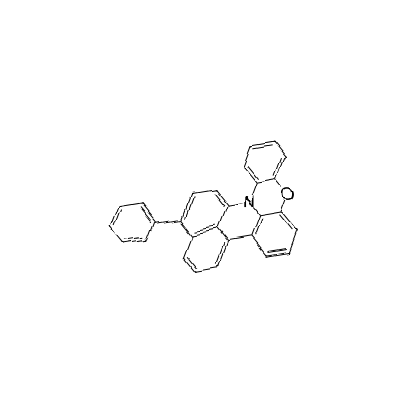 c1ccc(-c2ccc3c4c2cccc4c2cccc4oc5ccccc5n3-c42)cc1